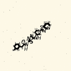 Cc1cccc(CC(=O)Nc2nnc(N[C@@H]3CCN(c4nc5ncccc5s4)C3)s2)c1